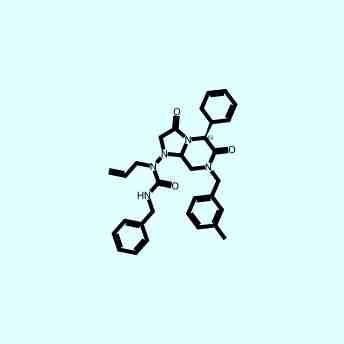 C=CCN(C(=O)NCc1ccccc1)N1CC(=O)N2C1CN(Cc1cccc(C)c1)C(=O)[C@@H]2C1C=CC=CC1